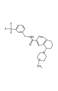 CN1CCN(C2CCCc3ccc(C(=O)NCc4cccc(C(F)(F)F)c4)cc32)CC1